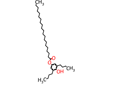 CCCCCCCCCCCCCCCCCCCCC(=O)Oc1cc(CCCC)c(O)c(CCCC)c1